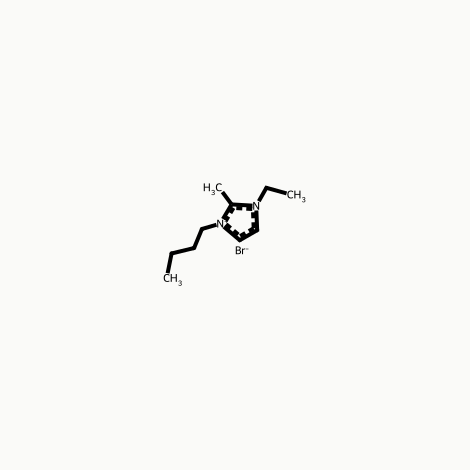 CCCC[n+]1ccn(CC)c1C.[Br-]